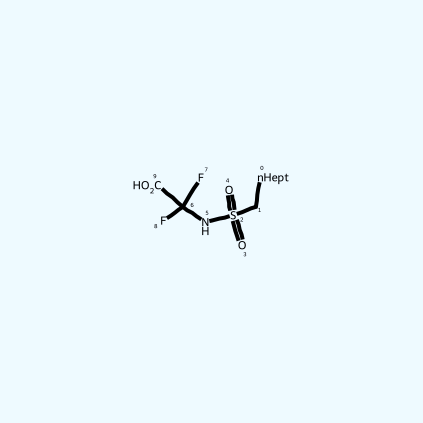 CCCCCCCCS(=O)(=O)NC(F)(F)C(=O)O